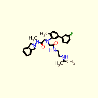 Cc1ccc(-c2cccc(F)c2)cc1N(CC(=O)NCCNC(C)C)CC(=O)N(C)N1Cc2ccccc2C1